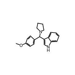 COc1ccc(C(c2c[nH]c3ccccc23)N2CCCC2)cc1